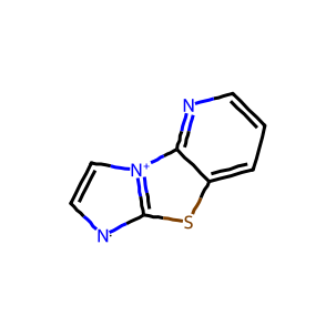 C1=C[n+]2c(sc3cccnc32)[N]1